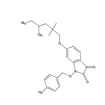 CC(C)(C)CC(O)CC(C)(C)COc1ccc2c(c1)N(OCc1ccc(S)cc1)C(=O)C2=O